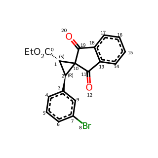 CCOC(=O)[C@H]1[C@H](c2cccc(Br)c2)C12C(=O)c1ccccc1C2=O